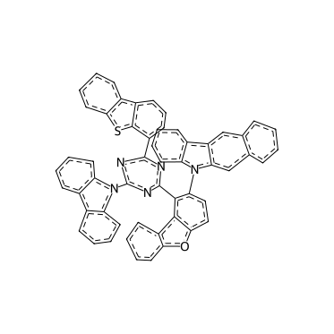 c1ccc2cc3c(cc2c1)c1ccccc1n3-c1ccc2oc3ccccc3c2c1-c1nc(-c2cccc3c2sc2ccccc23)nc(-n2c3ccccc3c3ccccc32)n1